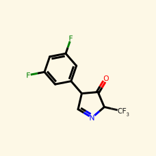 O=C1C(c2cc(F)cc(F)c2)C=NC1C(F)(F)F